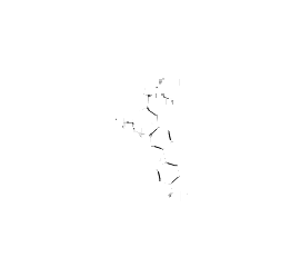 CCCc1ccc(-c2ccc3c(c2)N=C(N)CC(C(=O)N(CCC)CCC)=C3)cc1